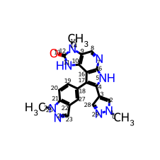 Cn1cc(-c2[nH]c3ncc4c([nH]c(=O)n4C)c3c2-c2ccc3c(cnn3C)c2)cn1